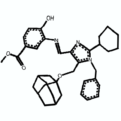 COC(=O)c1ccc(O)c(/N=C/c2nc(C3CCCCC3)n(Cc3ccccc3)c2COC23CC4CC(CC(C4)C2)C3)c1